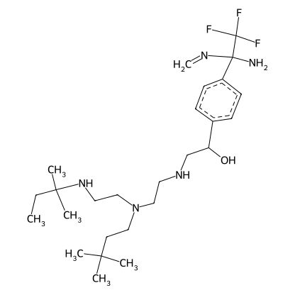 C=NC(N)(c1ccc(C(O)CNCCN(CCNC(C)(C)CC)CCC(C)(C)C)cc1)C(F)(F)F